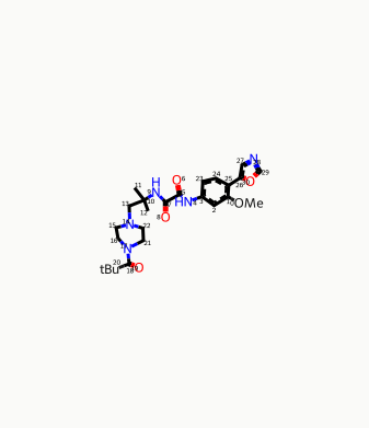 COc1cc(NC(=O)C(=O)NC(C)(C)CN2CCN(C(=O)C(C)(C)C)CC2)ccc1-c1cnco1